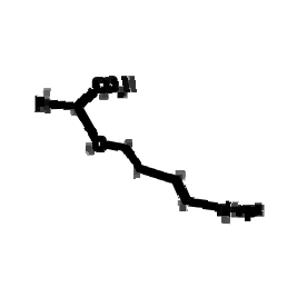 CCCCCCCCCCCOC(CC)C(=O)O